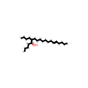 CCCCC=CCCCCCCCC(CCCC)C(O)CCCC